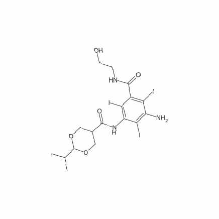 CC(C)C1OCC(C(=O)Nc2c(I)c(N)c(I)c(C(=O)NCCO)c2I)CO1